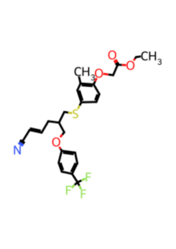 CCOC(=O)COc1ccc(SCC(C/C=C/C#N)COc2ccc(C(F)(F)F)cc2)cc1C